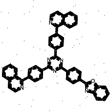 c1ccc2c(-c3ccc(-c4nc(-c5ccc(-c6nc7ccccc7o6)cc5)nc(-c5ccc(-c6nccc7ccccc67)cc5)n4)cc3)nccc2c1